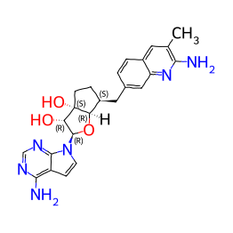 Cc1cc2ccc(C[C@@H]3CC[C@@]4(O)[C@@H]3O[C@@H](n3ccc5c(N)ncnc53)[C@@H]4O)cc2nc1N